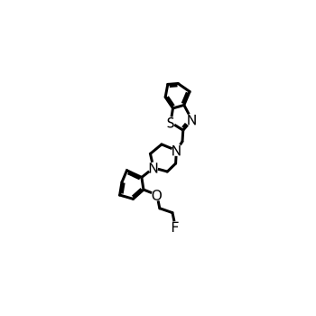 FCCOc1ccccc1N1CCN(Cc2nc3ccccc3s2)CC1